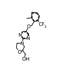 Cc1cccc(C(F)(F)F)c1COc1cnc(N2CCO[C@H](CO)C2)nc1